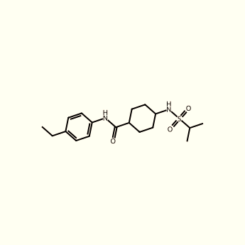 CCc1ccc(NC(=O)C2CCC(NS(=O)(=O)C(C)C)CC2)cc1